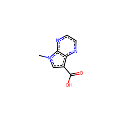 Cn1cc(C(=O)O)c2nccnc21